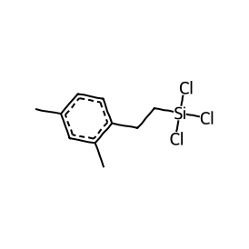 Cc1ccc(CC[Si](Cl)(Cl)Cl)c(C)c1